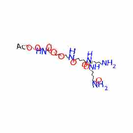 CC(=O)COCCOCCNC(=O)COCCOCCNC(=O)CCCC(=O)N[C@@H](CCCCN)C(=O)NCCCCCC(N)=O